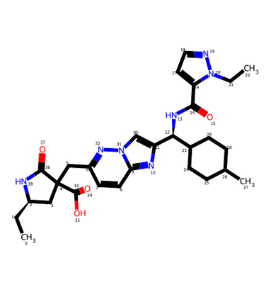 CC[C@@H]1CC(Cc2ccc3nc([C@@H](NC(=O)c4ccnn4CC)C4CCC(C)CC4)cn3n2)(C(=O)O)C(=O)N1